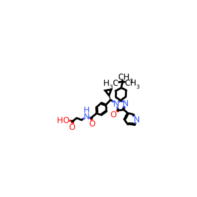 CC(C)(C)C1CCC2(CC1)N=C(c1cccnc1)C(=O)N2[C@@H](c1ccc(C(=O)NCCC(=O)O)cc1)C1CC1